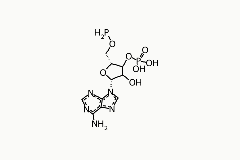 Nc1ncnc2c1ncn2[C@@H]1O[C@H](COP)C(OP(=O)(O)O)C1O